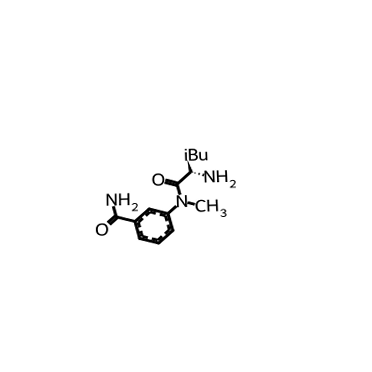 CC[C@H](C)[C@H](N)C(=O)N(C)c1cccc(C(N)=O)c1